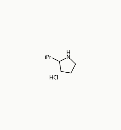 CC(C)C1CCCN1.Cl